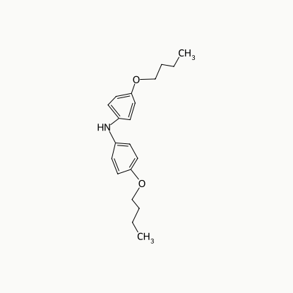 CCCCOc1ccc(Nc2ccc(OCCCC)cc2)cc1